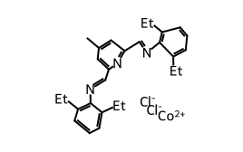 CCc1cccc(CC)c1N=Cc1cc(C)cc(C=Nc2c(CC)cccc2CC)n1.[Cl-].[Cl-].[Co+2]